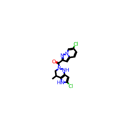 CC1CN(C(=O)c2cc3ccc(Cl)cn3n2)Nc2cc(Cl)[nH]c21